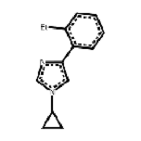 CCc1[c]cccc1-c1cn(C2CC2)cn1